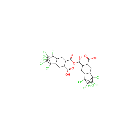 O=C(O)C1CC2C(CC1C(=O)OC(=O)C1CC3C(CC1C(=O)O)C1(Cl)C(Cl)=C(Cl)C3(Cl)C1(Cl)Cl)C1(Cl)C(Cl)=C(Cl)C2(Cl)C1(Cl)Cl